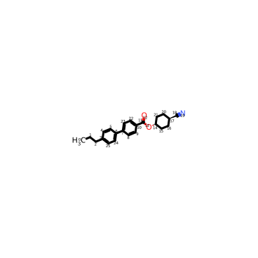 CCCc1ccc(-c2ccc(C(=O)O[C@H]3CC[C@H](C#N)CC3)cc2)cc1